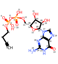 C#CCCOP(=O)(O)OP(=O)(O)OC[C@H]1O[C@@H](n2cnc3c(=O)[nH]c(N)nc32)[C@H](O)[C@@H]1O